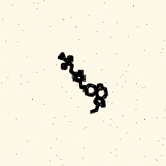 CCc1cc2c(s1)CCOC21CCN(Cc2cn(CCS(=O)(=O)C3CC3)nn2)CC1